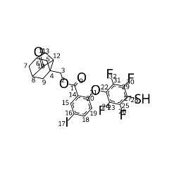 O=C(OCC12CC3CC(C1)C(=O)C2C3)c1cc(I)ccc1Oc1c(F)c(F)c(S)c(F)c1F